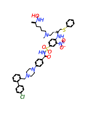 C=C(CCCCN(C)CC[C@H](CSc1ccccc1)Nc1ccc(S(=O)(=O)NC(=O)c2ccc(N3CCN(Cc4ccccc4-c4ccc(Cl)cc4)CC3)cc2)cc1[N+](=O)[O-])NO